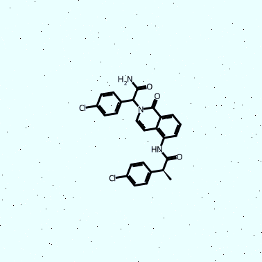 C[C@H](C(=O)Nc1cccc2c(=O)n(C(C(N)=O)c3ccc(Cl)cc3)ccc12)c1ccc(Cl)cc1